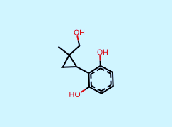 CC1(CO)CC1c1c(O)cccc1O